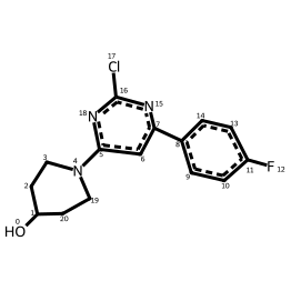 OC1CCN(c2cc(-c3ccc(F)cc3)nc(Cl)n2)CC1